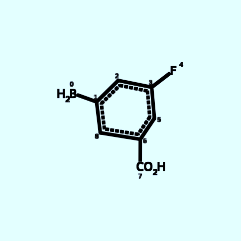 Bc1cc(F)cc(C(=O)O)c1